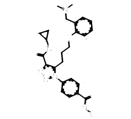 CCNC(=O)c1ccc(-n2nnc(C(=O)NC3CC3)c2CCCOc2ccccc2CN(C)C)cc1